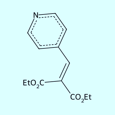 CCOC(=O)C(=Cc1ccncc1)C(=O)OCC